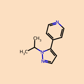 CC(C)n1nccc1-c1ccncc1